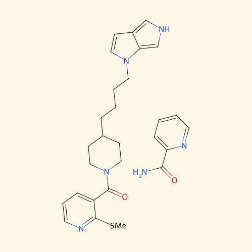 CSc1ncccc1C(=O)N1CCC(CCCCn2ccc3c[nH]cc32)CC1.NC(=O)c1ccccn1